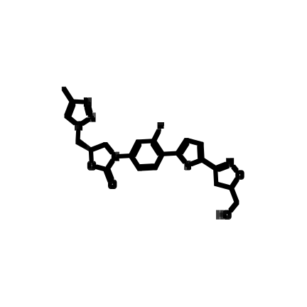 Cc1cn(C[C@H]2CN(c3ccc(-c4ccc(C5=NOC(CO)C5)s4)c(F)c3)C(=O)O2)nn1